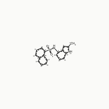 Cc1cc2c(NS(=O)(=O)c3cccc4ccccc34)cccc2[nH]1